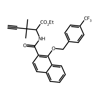 C#CC(C)(C)C(NC(=O)c1ccc2ccccc2c1OCc1ccc(C(F)(F)F)cc1)C(=O)OCC